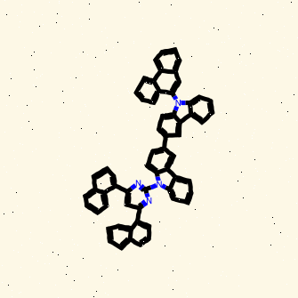 c1ccc2c(-c3cc(-c4cccc5ccccc45)nc(-n4c5ccccc5c5cc(-c6ccc7c(c6)c6ccccc6n7-c6cc7ccccc7c7ccccc67)ccc54)n3)cccc2c1